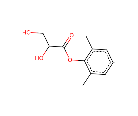 Cc1c[c]cc(C)c1OC(=O)C(O)CO